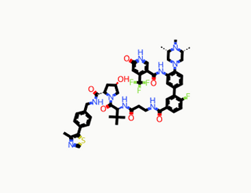 Cc1ncsc1-c1ccc(CNC(=O)[C@@H]2C[C@@H](O)CN2C(=O)[C@@H](NC(=O)CCNC(=O)c2ccc(F)c(-c3ccc(N4C[C@@H](C)N(C)[C@@H](C)C4)c(NC(=O)c4c[nH]c(=O)cc4C(F)(F)F)c3)c2)C(C)(C)C)cc1